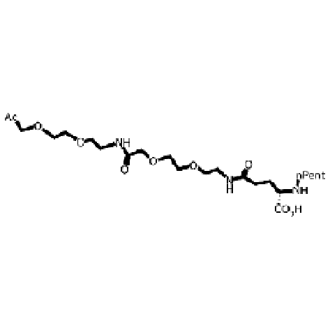 CCCCCN[C@@H](CCC(=O)NCCOCCOCC(=O)NCCOCCOCC(C)=O)C(=O)O